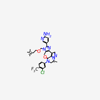 Cc1c(-c2cnn3c2C(=O)N(c2ccc(C(F)(F)F)c(Cl)c2)C[C@@H]3C)nc(-c2ccc(N)nc2)n1COCC[Si](C)(C)C